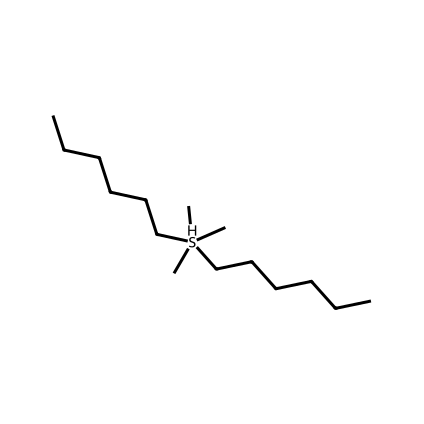 CCCCCC[SH](C)(C)(C)CCCCCC